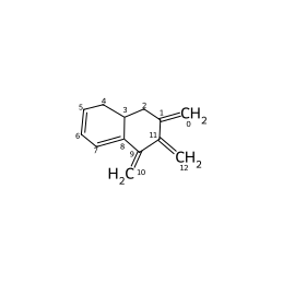 C=C1CC2CC=CC=C2C(=C)C1=C